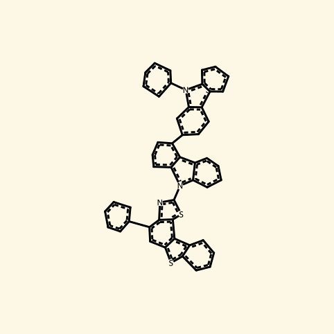 c1ccc(-c2cc3sc4ccccc4c3c3sc(-n4c5ccccc5c5c(-c6ccc7c8ccccc8n(-c8ccccc8)c7c6)cccc54)nc23)cc1